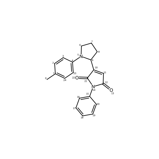 Cc1ccc(N2CCCC2C2=CC(=O)N(c3ccccc3)C2=O)cc1